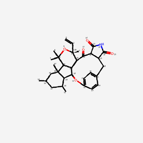 C=C[C@@]1(C)OC(C)(C)C2C3C(Oc4ccc(cc4)CC4C(=O)NC(=O)C4C(=O)C31)C1C(C)CC(C)CC12C